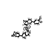 Cn1cc(-c2cnc3cnn(S(=O)(=O)c4cnc5ccc(-c6ccnc(F)c6)cn45)c3c2)cn1